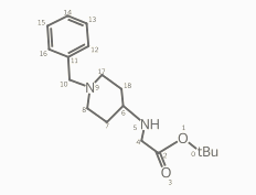 CC(C)(C)OC(=O)CNC1CCN(Cc2ccccc2)CC1